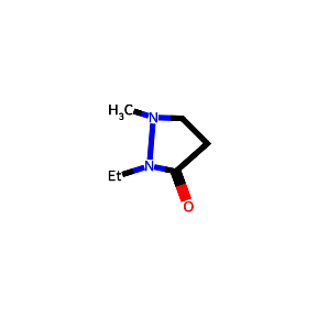 CCN1C(=O)CCN1C